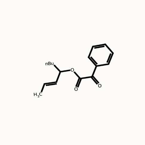 CC=CC(CCCC)OC(=O)C(=O)c1ccccc1